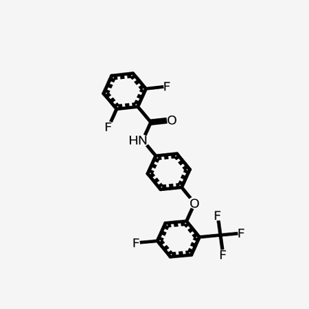 O=C(Nc1ccc(Oc2cc(F)ccc2C(F)(F)F)cc1)c1c(F)cccc1F